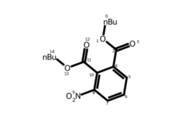 CCCCOC(=O)c1cccc([N+](=O)[O-])c1C(=O)OCCCC